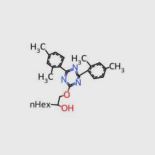 CCCCCCC(O)COc1nc(-c2ccc(C)cc2C)nc(-c2ccc(C)cc2C)n1